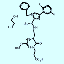 CC(C)(C)OC(=O)N[C@@H](CCN[C@@H](c1nc(-c2cc(F)ccc2F)cn1Cc1ccccc1)C(C)(C)C)C(=O)NCCC(=O)O.OCCO